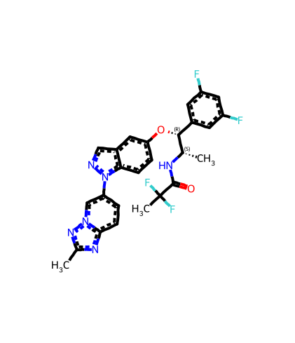 Cc1nc2ccc(-n3ncc4cc(O[C@H](c5cc(F)cc(F)c5)[C@H](C)NC(=O)C(C)(F)F)ccc43)cn2n1